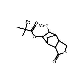 CCC(C)(C)C(=O)OC1C2CC(C3COC(=O)C32)C1OC